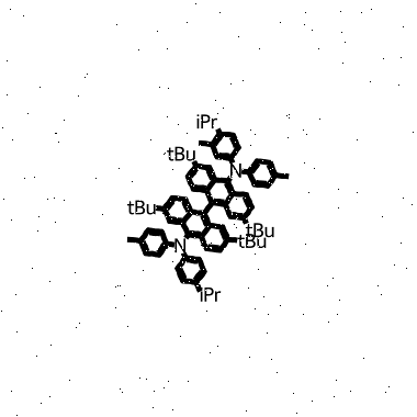 Cc1ccc(N(c2ccc(C(C)C)cc2)c2c3ccc(C(C)(C)C)cc3c(-c3c4cc(C(C)(C)C)ccc4c(N(c4ccc(C)cc4)c4ccc(C(C)C)c(C)c4)c4cc(C(C)(C)C)ccc34)c3ccc(C(C)(C)C)cc23)cc1